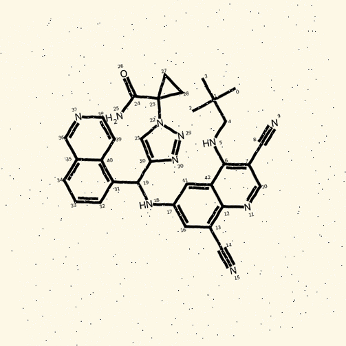 CC(C)(C)CNc1c(C#N)cnc2c(C#N)cc(NC(c3cn(C4(C(N)=O)CC4)nn3)c3cccc4cnccc34)cc12